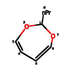 CCCC1OC=CC=CO1